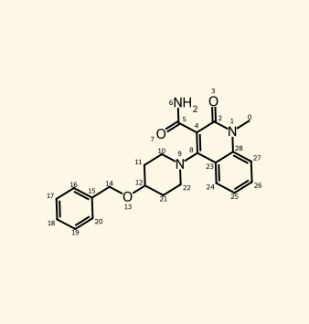 Cn1c(=O)c(C(N)=O)c(N2CCC(OCc3ccccc3)CC2)c2ccccc21